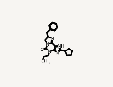 CCCN1C(=O)N2CC(Cc3ccccc3)N=C2c2[nH]c(C3CCCC3)nc21